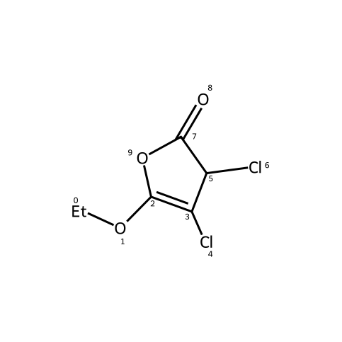 CCOC1=C(Cl)C(Cl)C(=O)O1